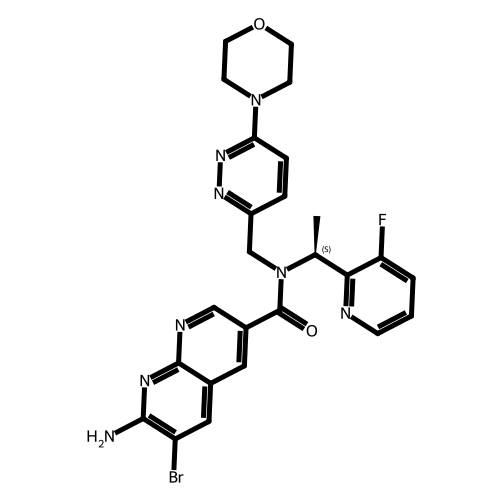 C[C@@H](c1ncccc1F)N(Cc1ccc(N2CCOCC2)nn1)C(=O)c1cnc2nc(N)c(Br)cc2c1